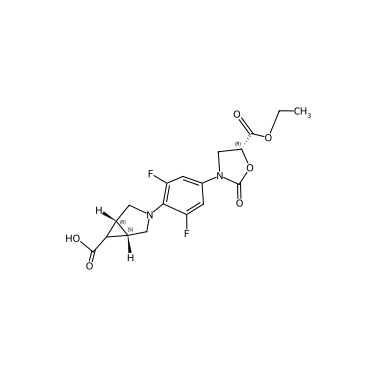 CCOC(=O)[C@H]1CN(c2cc(F)c(N3C[C@@H]4C(C(=O)O)[C@@H]4C3)c(F)c2)C(=O)O1